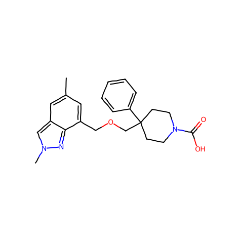 Cc1cc(COCC2(c3ccccc3)CCN(C(=O)O)CC2)c2nn(C)cc2c1